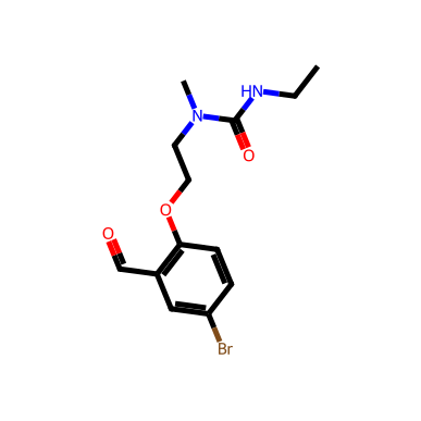 CCNC(=O)N(C)CCOc1ccc(Br)cc1C=O